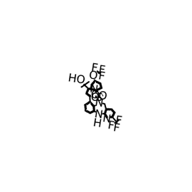 CC(C)(O)c1cc(-c2cccc3c2N(S(=O)(=O)c2ccc(OC(F)(F)F)cc2)Cc2ccc(C(F)(F)F)nc2N3)on1